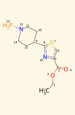 CCOC(=O)c1csc(C2CCN(P)CC2)n1